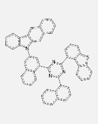 c1ccc2cc3c(cc2c1)c1ccccc1n3-c1cc(-c2nc(-c3cccc4ccccc34)nc(-c3cccc4sc5ccccc5c34)n2)c2ccccc2c1